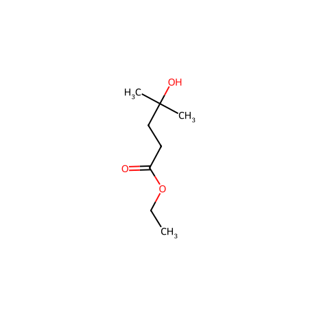 CCOC(=O)CCC(C)(C)O